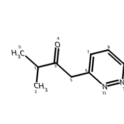 CC(C)C(=O)Cc1cccnn1